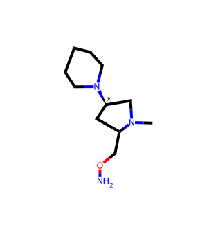 CN1C[C@H](N2CCCCC2)CC1CON